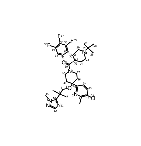 Cc1nc(C2(OCC(C)(C)c3ncnn3C)CCN(C(=O)[C@@H]3CCN(C(C)(C)C)C[C@H]3c3ccc(F)c(F)c3F)CC2)ccc1Cl